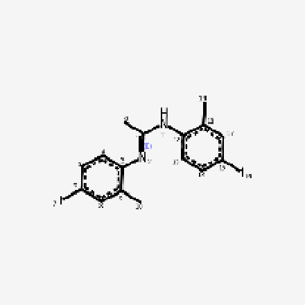 C/C(=N\c1ccc(I)cc1C)Nc1ccc(I)cc1C